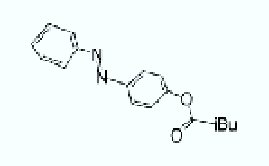 CCC(C)C(=O)Oc1ccc(N=Nc2ccccc2)cc1